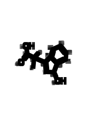 CC(C)(C(=O)O)C1=CC(O)c2ccccc21